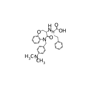 CN(C)c1ccc(CN2C(=O)C(N[C@@H](CCc3ccccc3)C(=O)O)COc3ccccc32)cc1